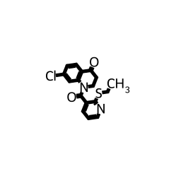 CCSc1ncccc1C(=O)N1CCC(=O)c2ccc(Cl)cc21